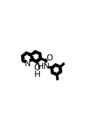 Cc1cc(C)cc(NC(=O)c2ccc3cccnc3c2O)c1